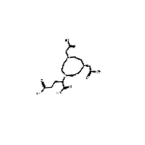 NC(=O)C(CCC(=O)O)N1CCN(CC(=O)O)CCN(CC(=O)O)CC1